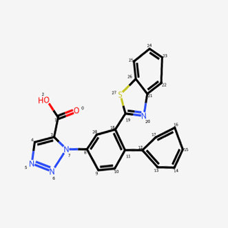 O=C(O)c1cnnn1-c1ccc(-c2ccccc2)c(-c2nc3ccccc3s2)c1